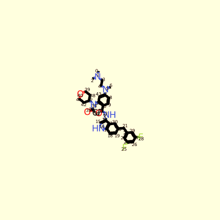 CN(C)CCN(C)c1ccc(C(=O)Nc2c[nH]c3ccc(Cc4cc(F)cc(F)c4)cc23)c(N(C(=O)C(F)(F)F)C2CCOCC2)c1